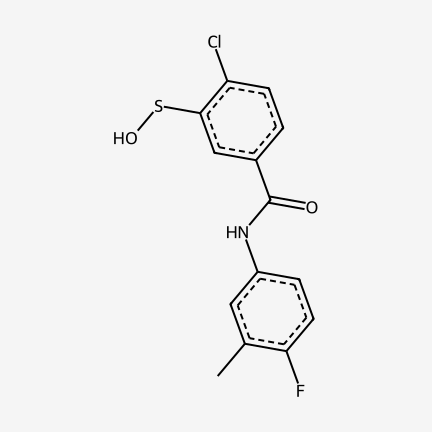 Cc1cc(NC(=O)c2ccc(Cl)c(SO)c2)ccc1F